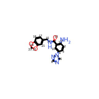 Nc1ccc(-n2cncn2)cc1C(=O)NCc1ccc2c(c1)OCO2